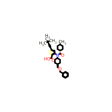 CC(C)(C)C#Cc1cc(N(C(=O)[C@H]2CC[C@H](C)CC2)C2CCC(=COCc3ccccc3)CC2)c(C(=O)O)s1